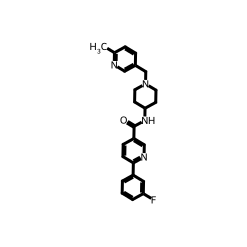 Cc1ccc(CN2CCC(NC(=O)c3ccc(-c4cccc(F)c4)nc3)CC2)cn1